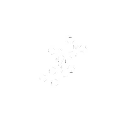 c1ccc(-n2c3ccccc3c3ccc(-c4nc(-n5c6ccc7c8ccccc8c8ccccc8c7c6c6ccc7ccccc7c65)nc5c4ccc4ccccc45)cc32)cc1